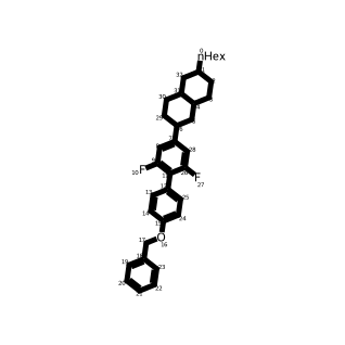 CCCCCCC1CCC2CC(c3cc(F)c(-c4ccc(OCc5ccccc5)cc4)c(F)c3)CCC2C1